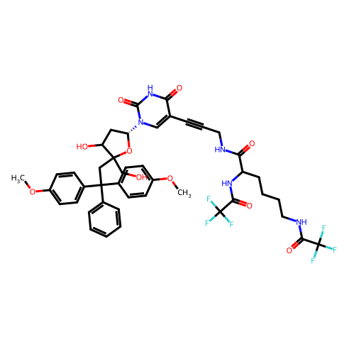 COc1ccc(C(CC2(CO)O[C@@H](n3cc(C#CCNC(=O)C(CCCCNC(=O)C(F)(F)F)NC(=O)C(F)(F)F)c(=O)[nH]c3=O)CC2O)(c2ccccc2)c2ccc(OC)cc2)cc1